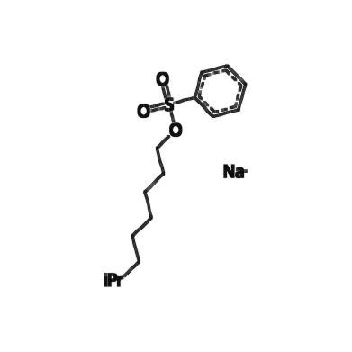 CC(C)CCCCCCOS(=O)(=O)c1ccccc1.[Na]